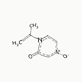 C=C(C)n1cc[n+]([O-])cc1=O